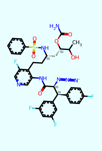 CC(O)[C@H](C[C@H](CCc1c(F)cncc1NC(=O)[C@@H](N=[N+]=[N-])[C@@H](c1ccc(F)cc1)c1cc(F)cc(F)c1)NS(=O)(=O)c1ccccc1)OC(N)=O